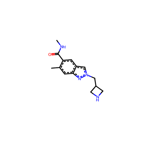 CNC(=O)c1cc2cn(CC3CNC3)nc2cc1C